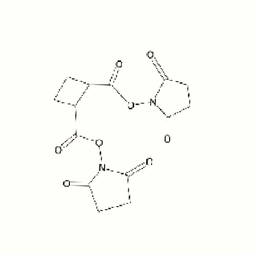 O=C(ON1C(=O)CCC1=O)C1CCC1C(=O)ON1C(=O)CCC1=O